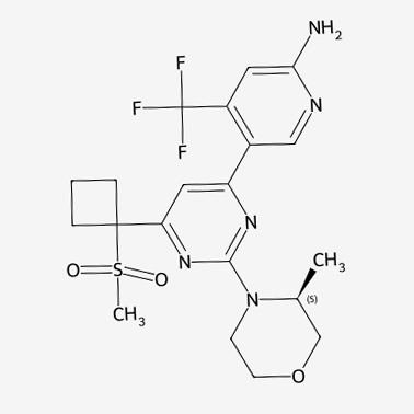 C[C@H]1COCCN1c1nc(-c2cnc(N)cc2C(F)(F)F)cc(C2(S(C)(=O)=O)CCC2)n1